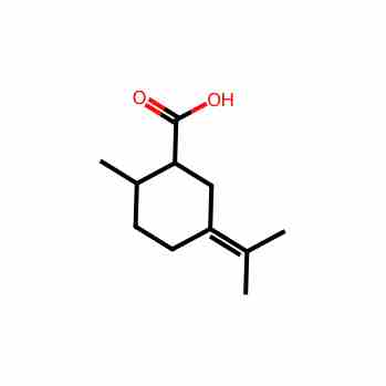 CC(C)=C1CCC(C)C(C(=O)O)C1